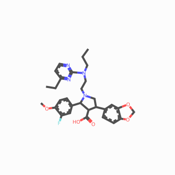 CCCN(CCN1CC(c2ccc3c(c2)OCO3)C(C(=O)O)C1c1ccc(OC)c(F)c1)c1nccc(CC)n1